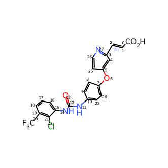 O=C(O)/C=C/c1cc(Oc2ccc(NC(=O)Nc3cccc(C(F)(F)F)c3Cl)cc2)ccn1